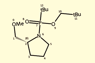 COC[C@H]1CCCN1P(=O)(OCC(C)(C)C)C(C)(C)C